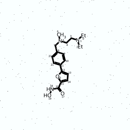 CCN(CC)CCN(C)Cc1ccc(-c2ccc(C(=O)NO)o2)cc1